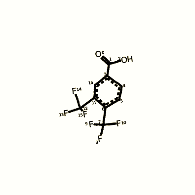 O=C(O)c1ccc(C(F)(F)F)c(C(F)(F)F)c1